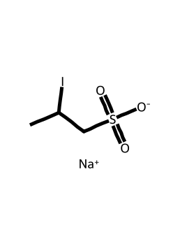 CC(I)CS(=O)(=O)[O-].[Na+]